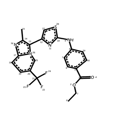 CCOC(=O)c1ccc(Nc2nc(-c3c(C)nc4ccc(C(F)(F)F)cn34)cs2)cc1